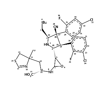 CC(C)(C)C[C@@H]1N[C@@H](C2OC2N[C@@H](CC2(C)CSC=N2)C(=O)O)[C@H](c2cccc(Cl)c2F)[C@@]1(C#N)c1ccc(Cl)cc1F